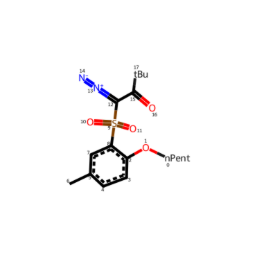 CCCCCOc1ccc(C)cc1S(=O)(=O)C(=[N+]=[N-])C(=O)C(C)(C)C